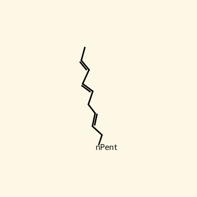 [CH2]CCCCC/C=C/C/C=C/C=C/C